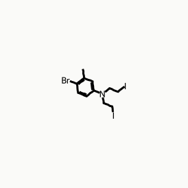 Cc1cc(N(CCI)CCI)ccc1Br